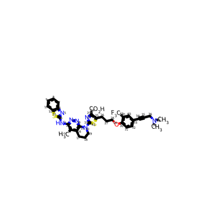 Cc1c(Nc2nc3ccccc3s2)nnc2c1CCCN2c1nc(C(=O)O)c(CCCOc2ccc(C#CCN(C)C)cc2C(F)(F)F)s1